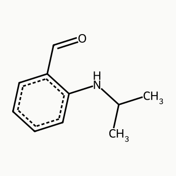 CC(C)Nc1ccccc1C=O